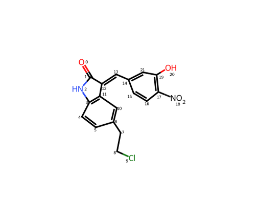 O=C1Nc2ccc(CCCl)cc2C1=Cc1ccc([N+](=O)[O-])c(O)c1